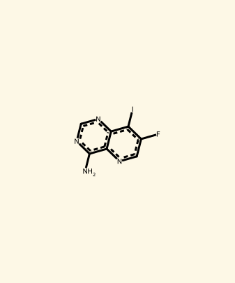 Nc1ncnc2c(I)c(F)cnc12